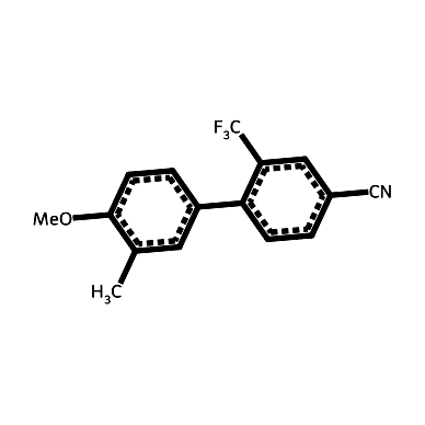 COc1ccc(-c2ccc(C#N)cc2C(F)(F)F)cc1C